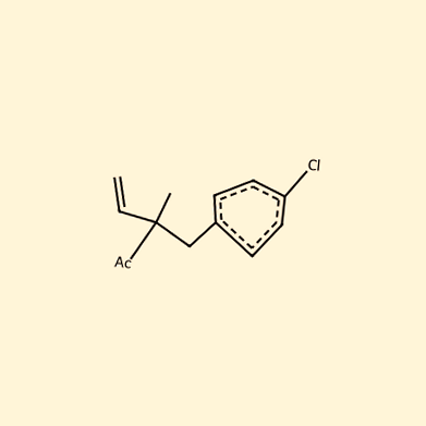 C=CC(C)(Cc1ccc(Cl)cc1)C(C)=O